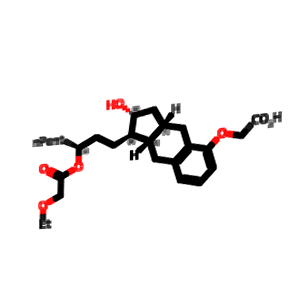 CCCCC[C@@H](CC[C@@H]1[C@H]2Cc3cccc(OCC(=O)O)c3C[C@H]2C[C@H]1O)OC(=O)COCC